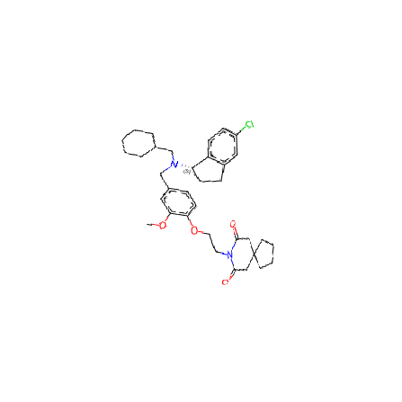 COc1cc(CN(CC2CCCCC2)[C@H]2CCc3cc(Cl)ccc32)ccc1OCCN1C(=O)CC2(CCCC2)CC1=O